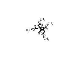 CCOC(=O)Cc1c(C(=O)OCC)sc(N(CC(=O)OCC)CC(=O)OCC)c1C#N